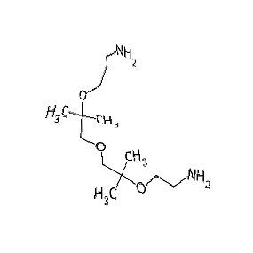 CC(C)(COCC(C)(C)OCCN)OCCN